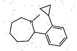 CN1CCCCCC1c1ccccc1C1CC1